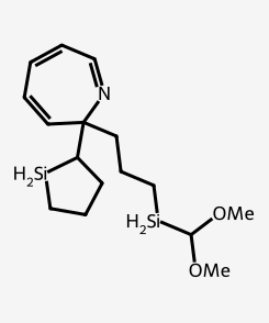 COC(OC)[SiH2]CCCC1(C2CCC[SiH2]2)C=CC=CC=N1